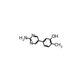 Cc1ccc(-c2cnc(N)nc2)cc1O